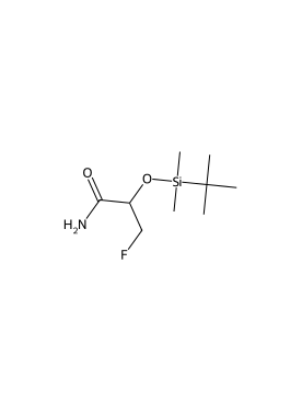 CC(C)(C)[Si](C)(C)OC(CF)C(N)=O